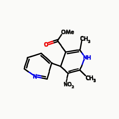 COC(=O)C1=C(C)NC(C)=C([N+](=O)[O-])C1c1cccnc1